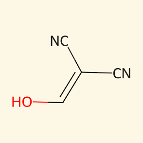 N#CC(C#N)=CO